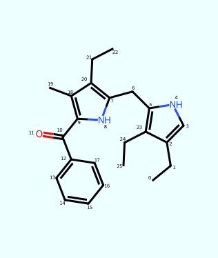 CCc1c[nH]c(Cc2[nH]c(C(=O)c3ccccc3)c(C)c2CC)c1CC